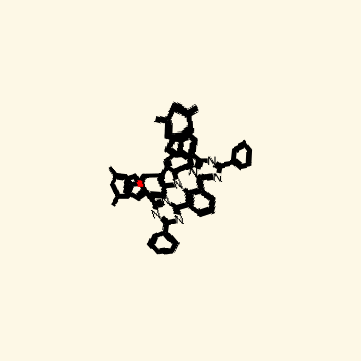 Cc1cc(C)cc(-c2ccc3c(c2)c2cc(-c4cc(C)cc(C)c4)ccc2n3-c2c(-c3nc(-c4ccccc4)nc(-c4ccccc4)n3)cccc2-c2nc(-c3ccccc3)nc(-c3ccccc3)n2)c1